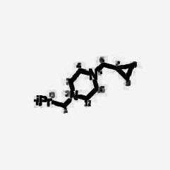 C[C](C)CN1CCN(CC2CC2)CC1